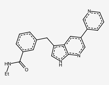 CCNC(=O)c1cccc(Cc2c[nH]c3ncc(-c4cccnc4)cc23)c1